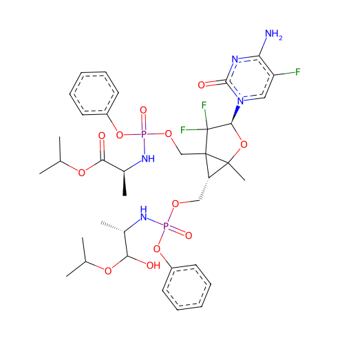 CC(C)OC(=O)[C@H](C)NP(=O)(OCC12[C@@H](COP(=O)(N[C@@H](C)C(O)OC(C)C)Oc3ccccc3)C1(C)O[C@H](n1cc(F)c(N)nc1=O)C2(F)F)Oc1ccccc1